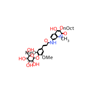 CCCCCCCCOc1c(O)c2ccc(NC(=O)C=Cc3cc(OC)c(O[C@H]4O[C@H](CO)[C@@H](O)[C@H](O)[C@@H]4O)c(OC)c3)cc2n(C)c1=O